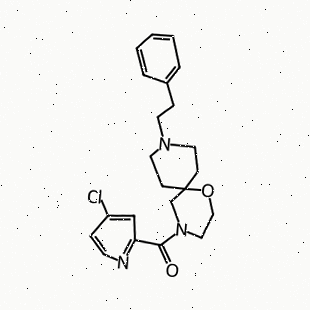 O=C(c1cc(Cl)ccn1)N1CCOC2(CCN(CCc3ccccc3)CC2)C1